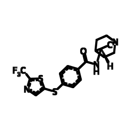 O=C(N[C@H]1CN2CCC1CC2)c1ccc(Sc2cnc(C(F)(F)F)s2)cc1